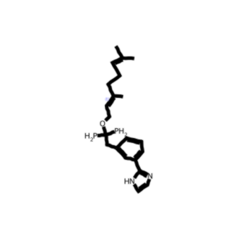 CC(C)=CCC/C(C)=C/COC(P)(P)Cc1cccc(-c2ncc[nH]2)c1